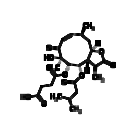 C=C1C(=O)O[C@@H]2C[C@H](C)/C=C\C(=O)[C@](C)(O)[C@@H](OC(=O)CCC(=O)O)[C@@H](OC(=O)CC(C)C)[C@@H]12